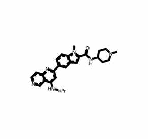 CCCNc1cc(-c2ccc3c(c2)cc(C(=O)NC2CCN(C)CC2)n3C)nc2ccncc12